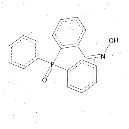 O=P(c1ccccc1)(c1ccccc1)c1ccccc1/C=N\O